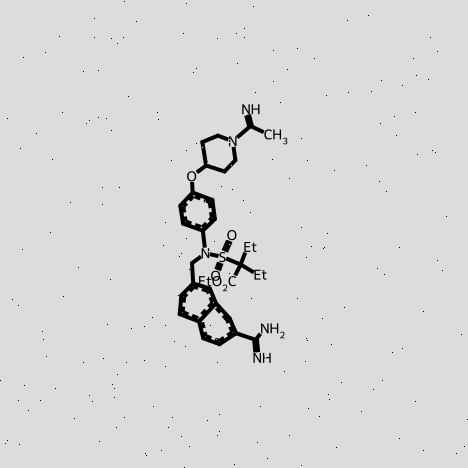 CCOC(=O)C(CC)(CC)S(=O)(=O)N(Cc1ccc2ccc(C(=N)N)cc2c1)c1ccc(OC2CCN(C(C)=N)CC2)cc1